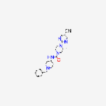 C[C@@H]1CN(C(=O)NC2CCN(Cc3ccccc3)CC2)CCN1c1ncc(C#N)cn1